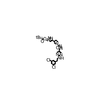 CC(C)(C)C(=O)OCn1cc(C2CCN(c3nnc(-c4cnc(NCCc5cc(Cl)cc(Cl)c5)nc4)o3)C2)nn1